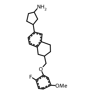 COc1ccc(F)c(OCC2CCc3cc(C4CCC(N)C4)ccc3C2)c1